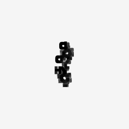 Clc1ccc(CCCNc2cc[c]cc2)c(Cl)c1